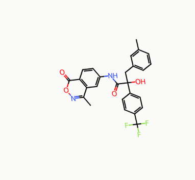 Cc1cccc(CC(O)(C(=O)Nc2ccc3c(=O)onc(C)c3c2)c2ccc(C(F)(F)F)cc2)c1